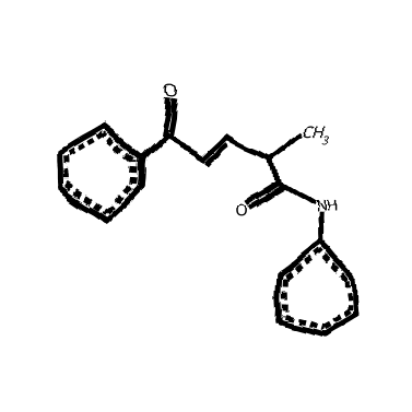 CC(C=CC(=O)c1ccccc1)C(=O)Nc1ccccc1